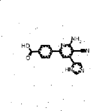 N#Cc1c(-c2cnc[nH]2)cc(-c2ccc(C(=O)O)cc2)nc1N